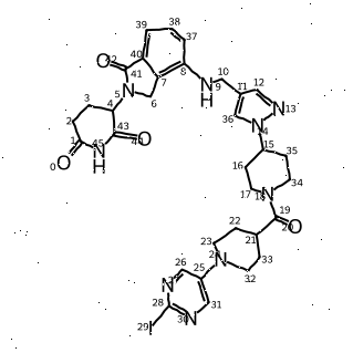 O=C1CCC(N2Cc3c(NCc4cnn(C5CCN(C(=O)C6CCN(c7cnc(I)nc7)CC6)CC5)c4)cccc3C2=O)C(=O)N1